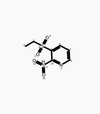 CCS(=O)(=O)c1cccnc1[SH](=O)=O